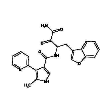 Cc1[nH]cc(C(=O)NC(Cc2coc3ccccc23)C(=O)C(N)=O)c1-c1ccccn1